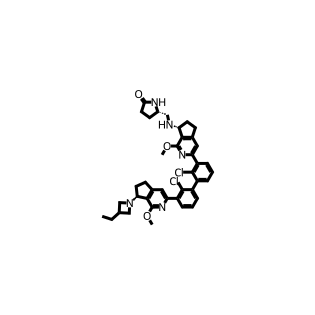 CCC1CN([C@H]2CCc3cc(-c4cccc(-c5cccc(-c6cc7c(c(OC)n6)[C@H](NC[C@@H]6CCC(=O)N6)CC7)c5Cl)c4Cl)nc(OC)c32)C1